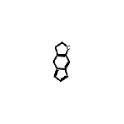 C1=CC2=CC3=C(CCO3)CC2=C1